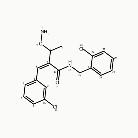 CC(ON)C(=Cc1cccc(Cl)c1)C(=O)NCc1ccccc1Cl